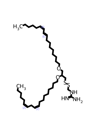 CCCCC/C=C\C=C\CCCCCCCCOCC(CSSCNC(=N)N)OCCCCCCCC/C=C\C/C=C\CCCCC